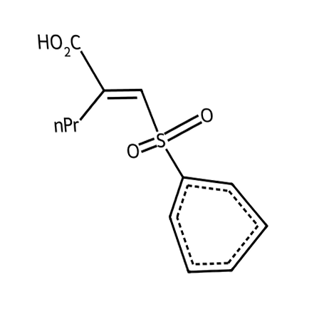 CCC/C(=C\S(=O)(=O)c1ccccc1)C(=O)O